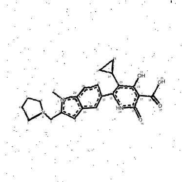 Cn1c(CN2CCCC2)cc2cc(-c3[nH]c(=O)c(C(=O)O)c(O)c3C3CC3)ccc21